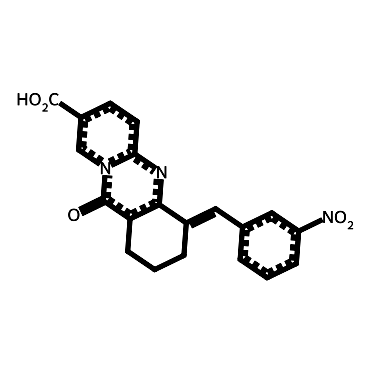 O=C(O)c1ccc2nc3c(c(=O)n2c1)CCCC3=Cc1cccc([N+](=O)[O-])c1